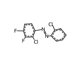 Fc1ccc(N=Nc2ccccc2Cl)c(Cl)c1F